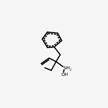 C=CC(CC)(Cc1ccccc1)[SiH2]O